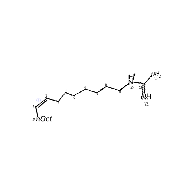 CCCCCCCC/C=C\CCCCCCCNC(=N)N